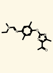 CCN(C)C=Nc1cc(C)c(Oc2nc(C)c(C(C)=O)s2)cc1C